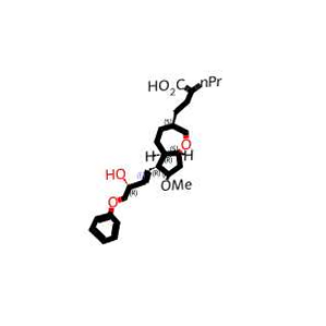 CCCC(CC[C@@H]1CC[C@@H]2[C@@H](/C=C/[C@@H](O)COc3ccccc3)[C@H](OC)C[C@@H]2OC1)C(=O)O